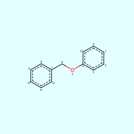 [c]1cc[c]c(OCc2ccccc2)c1